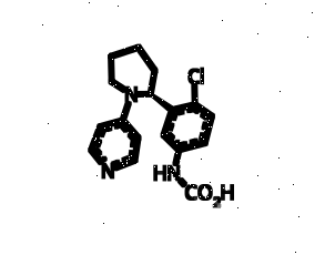 O=C(O)Nc1ccc(Cl)c([C@@H]2CCCCN2c2ccncc2)c1